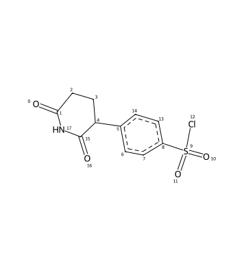 O=C1CCC(c2ccc(S(=O)(=O)Cl)cc2)C(=O)N1